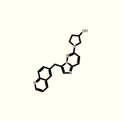 OC1CCN(c2ccc3ncc(Cc4ccc5ncccc5c4)n3n2)C1